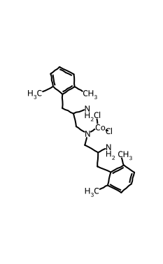 Cc1cccc(C)c1CC(N)C[N](CC(N)Cc1c(C)cccc1C)[Co]([Cl])[Cl]